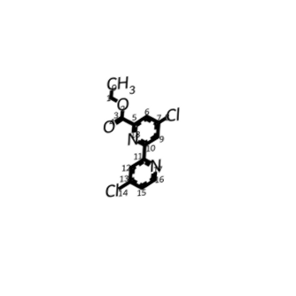 CCOC(=O)c1cc(Cl)cc(-c2cc(Cl)ccn2)n1